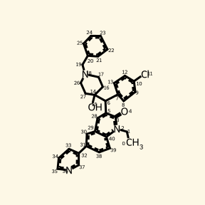 CCn1c(=O)c(C(c2ccc(Cl)cc2)C2(O)CCN(Cc3ccccc3)CC2)cc2cc(-c3cccnc3)ccc21